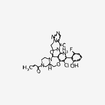 C=CC(=O)N1CCN2C(=O)c3c(N4CCn5nncc5[C@@H]4C)nc(-c4c(O)cccc4F)c(Cl)c3OC[C@H]2C1